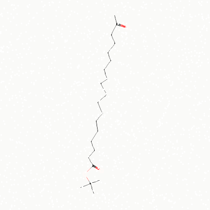 CC(=O)CCCCCCCCCCCCCCCC(=O)OC(C)(C)C